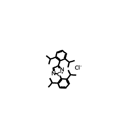 CC(C)c1cccc(C(C)C)c1C1=N[C+](c2c(C(C)C)cccc2C(C)C)N=C1.[Cl-]